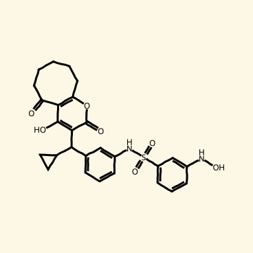 O=C1CCCCCc2oc(=O)c(C(c3cccc(NS(=O)(=O)c4cccc(NO)c4)c3)C3CC3)c(O)c21